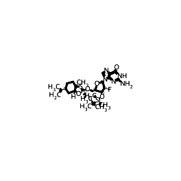 C=C(C)[C@@H]1CC[C@]2(C)S[P@@](=S)(OC[C@H]3O[C@@H](n4cnc5c(=O)[nH]c(N)nc54)[C@H](F)[C@@H]3O[Si](C)(C)C(C)(C)C)O[C@H]2C1